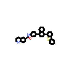 c1cnc2ccc(-c3nc4ccc(-c5ccc(-c6cccc7c6sc6ccccc67)c6ccccc56)cc4o3)cc2c1